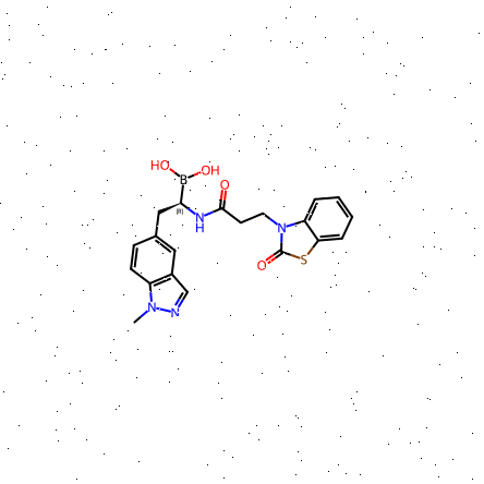 Cn1ncc2cc(C[C@H](NC(=O)CCn3c(=O)sc4ccccc43)B(O)O)ccc21